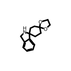 c1ccc2c(c1)CNC21CCC2(CC1)OCCO2